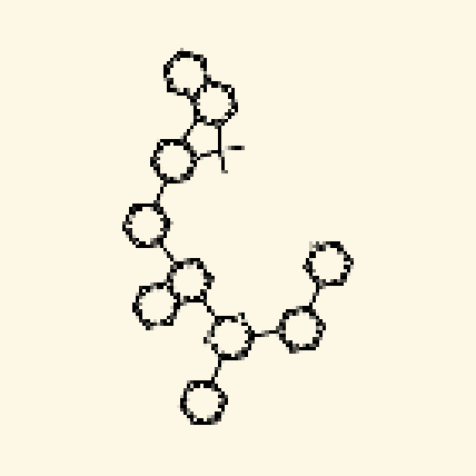 CC1(C)c2cc(-c3cccc(-c4ccc(-c5nc(-c6ccccc6)cc(-c6cccc(-c7cccnc7)c6)n5)c5ccccc45)c3)ccc2-c2c1ccc1ccccc21